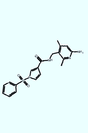 Cc1cc(N)nc(C)c1CNC(=O)c1ccn(S(=O)(=O)c2ccccc2)c1